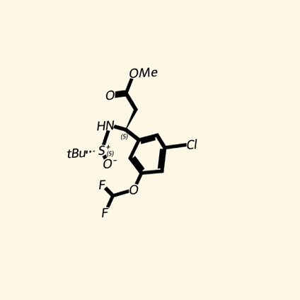 COC(=O)C[C@H](N[S@+]([O-])C(C)(C)C)c1cc(Cl)cc(OC(F)F)c1